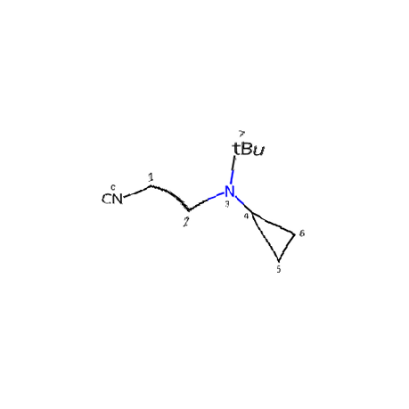 [C-]#[N+]CCN(C1CC1)C(C)(C)C